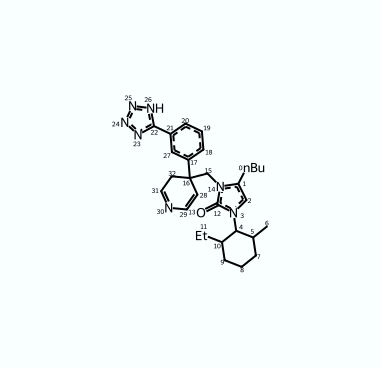 CCCCc1cn(C2C(C)CCCC2CC)c(=O)n1CC1(c2cccc(-c3nnn[nH]3)c2)C=CN=CC1